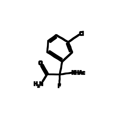 CC(=O)NC(F)(C(N)=O)c1cccc(Cl)c1